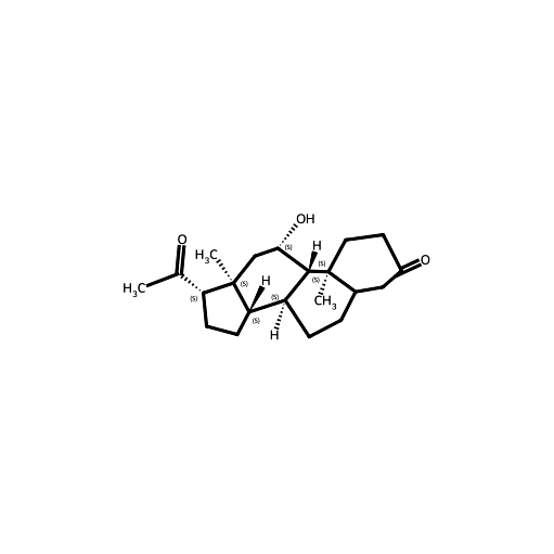 CC(=O)[C@H]1CC[C@H]2[C@@H]3CCC4CC(=O)CC[C@]4(C)[C@H]3[C@@H](O)C[C@]12C